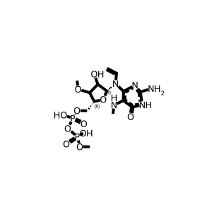 C=CN(c1nc(N)[nH]c(=O)c1NC)[C@@H]1O[C@H](COP(=O)(O)OP(=O)(O)OC)C(OC)C1O